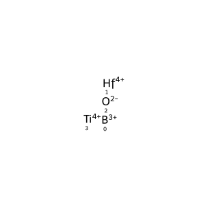 [B+3].[Hf+4].[O-2].[Ti+4]